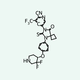 N#Cc1ncc(N2C(=O)C3(CCC3)N(c3ccc(O[C@@H]4CCNCC4(F)F)cc3)C2=S)cc1C(F)(F)F